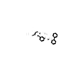 Cn1c(-c2cccc(NC(=O)Nc3ccccc3-c3ccccc3)c2)nc(C(=O)O)c(O)c1=O